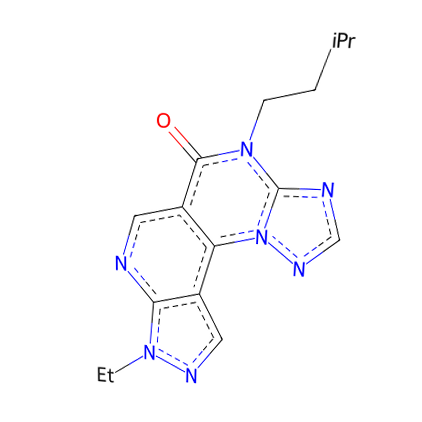 CCn1ncc2c1ncc1c(=O)n(CCC(C)C)c3ncnn3c12